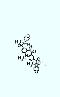 Cn1c2ccc(C(=O)C(C)(C)N3CCOCC3)cc2c(=O)c(=O)c2cc(C(=O)C(C)(C)N3CCOCC3)ccc21